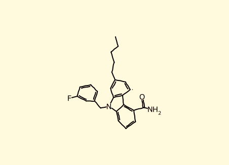 CCCCCc1c[c]c2c3c(C(N)=O)cccc3n(Cc3cccc(F)c3)c2c1